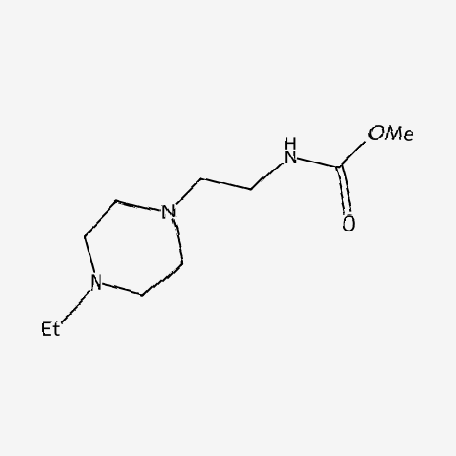 CCN1CCN(CCNC(=O)OC)CC1